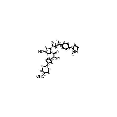 CC(C)C(C(=O)N1C[C@H](O)C[C@H]1C(=O)N[C@@H](C)c1ccc(-c2ccnn2C)cc1)c1cc(N2CCC(C=O)CC2)no1